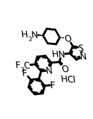 Cl.N[C@H]1CC[C@H](Oc2sncc2NC(=O)c2ccc(C(F)(F)F)c(-c3c(F)cccc3F)n2)CC1